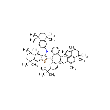 Cc1cc2c(cc1C[C@H]1C3=C(CC(C(C)(C)C)C=C3)B3c4sc5cc6c(cc5c4N(c4ccc5c(c4)C(C)(C)CCC5(C)C)c4cccc(c43)C1C)C(C)(C)CCC6(C)C)C(C)(C)CCC2(C)C